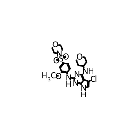 COc1cc(S(=O)(=O)N2CCOCC2)ccc1Nc1nc(NC2CCOCC2)c2c(Cl)c[nH]c2n1